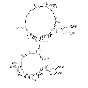 C=CC[C@@H]1/C=C(\C)C[C@H](C)C[C@H](OC)[C@H]2O[C@@](O)(C(=O)C(=O)N3CCCC[C@H]3C(=O)O[C@H](/C(C)=C/[C@@H]3CC[C@@H](O)[C@H](OC)C3)[C@H](C)[C@@H](O)CC1=O)[C@H](C)C[C@@H]2OC.CO[C@H]1C[C@@H]2CC[C@@H](C)[C@@](O)(O2)C(=O)C(=O)N2CCCC[C@H]2C(=O)O[C@H]([C@H](C)C[C@@H]2CC[C@@H](O)[C@H](OC)C2)CC(=O)[C@H](C)/C=C(\C)[C@@H](O)[C@@H](OC)C(=O)[C@H](C)C[C@H](C)/C=C/C=C/C=C/1C